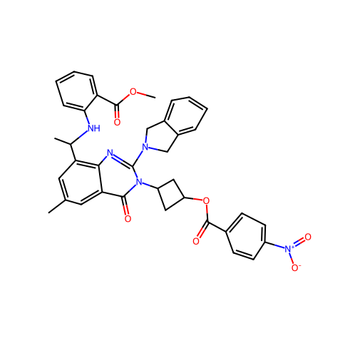 COC(=O)c1ccccc1NC(C)c1cc(C)cc2c(=O)n(C3CC(OC(=O)c4ccc([N+](=O)[O-])cc4)C3)c(N3Cc4ccccc4C3)nc12